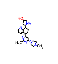 Cc1nc([C@@H]2CCC(C3CC(O)CN3)c3ncccc32)cc(N2CCN(C)CC2)n1